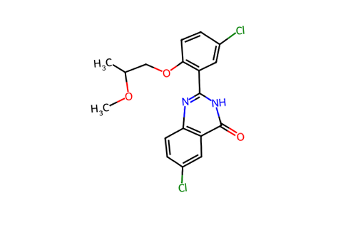 COC(C)COc1ccc(Cl)cc1-c1nc2ccc(Cl)cc2c(=O)[nH]1